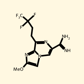 COc1cn2cc(C(=N)N)nc(CCC(F)(F)C(F)(F)F)c2n1